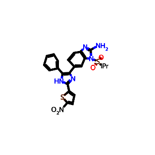 CC(C)S(=O)(=O)n1c(N)nc2ccc(-c3nc(-c4ccc([N+](=O)[O-])s4)[nH]c3-c3ccccc3)cc21